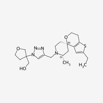 CCc1cc2c(s1)CCO[C@@]21CCN(Cc2cn(C3(CO)CCOC3)nn2)[C@@H](C)C1